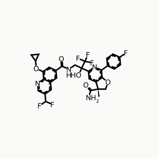 C[C@]1(C(N)=O)COc2c1cc(C(O)(CNC(=O)c1cc(OC3CC3)c3ncc(C(F)F)cc3c1)C(F)(F)F)nc2-c1ccc(F)cc1